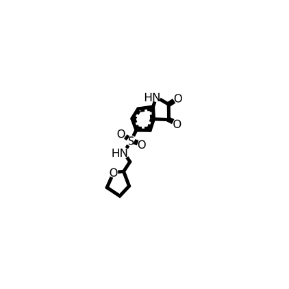 O=C1Nc2ccc(S(=O)(=O)NCC3CCCO3)cc2C1=O